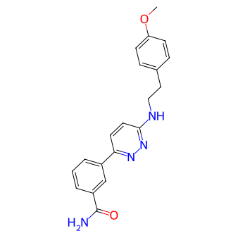 COc1ccc(CCNc2ccc(-c3cccc(C(N)=O)c3)nn2)cc1